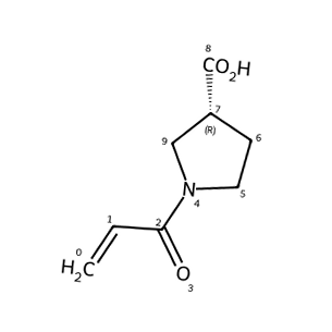 C=CC(=O)N1CC[C@@H](C(=O)O)C1